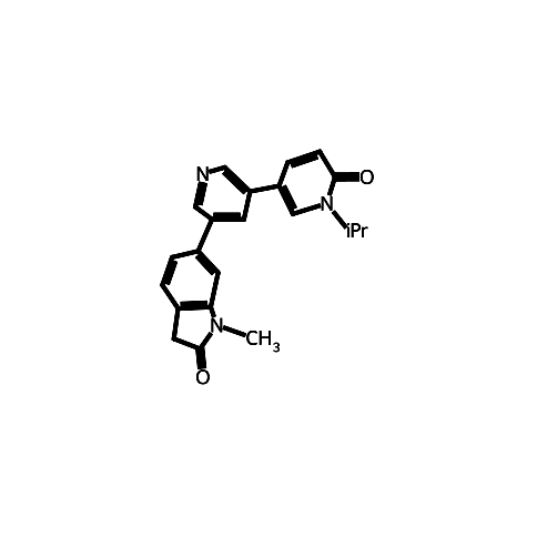 CC(C)n1cc(-c2cncc(-c3ccc4c(c3)N(C)C(=O)C4)c2)ccc1=O